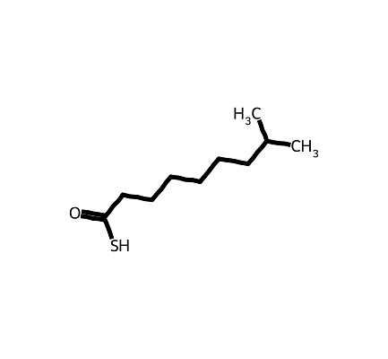 CC(C)CCCCCCC(=O)S